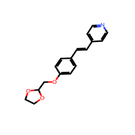 C(=C\c1ccc(OCC2OCCO2)cc1)/c1ccncc1